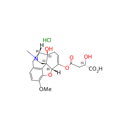 COc1ccc2c3c1O[C@H]1C(OC(=O)C[C@H](O)C(=O)O)=CC[C@@]4(O)[C@@H](C2)N(C)CC[C@]314.Cl